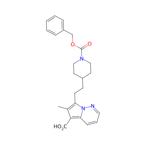 Cc1c(C(=O)O)c2cccnn2c1CCC1CCN(C(=O)OCc2ccccc2)CC1